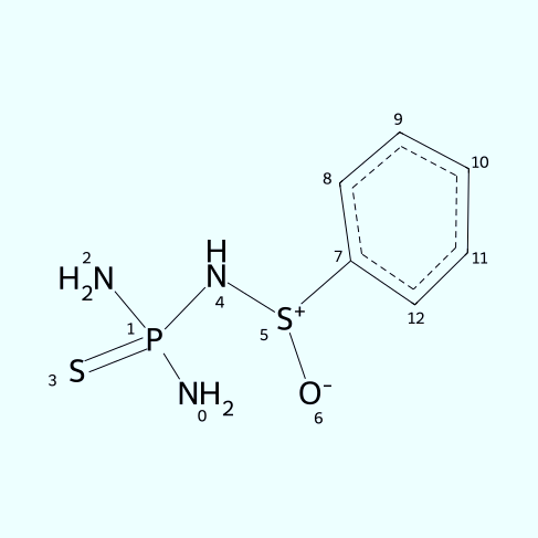 NP(N)(=S)N[S+]([O-])c1ccccc1